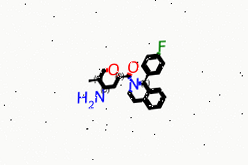 C[C@H]1CO[C@@H](C(=O)N2CCc3ccccc3[C@@H]2c2ccc(F)cc2)C[C@@H]1N